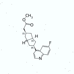 COC(=O)C[C@@H]1C[C@@H]2C[C@H](c3ccnc4ccc(F)cc34)C[C@@H]2C1